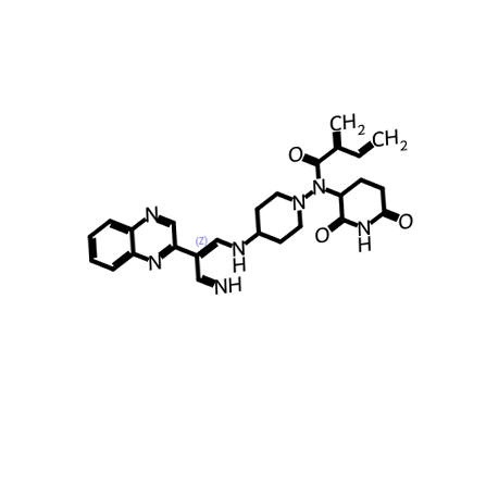 C=CC(=C)C(=O)N(C1CCC(=O)NC1=O)N1CCC(N/C=C(\C=N)c2cnc3ccccc3n2)CC1